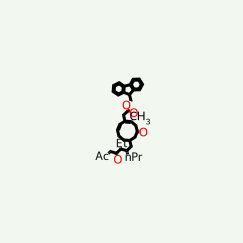 CCCC(CC1CC/C=C\C(CC(=O)OCC2c3ccccc3-c3ccccc32)=C(\C)CC(=O)C1)C(CC)C(=O)CC(C)=O